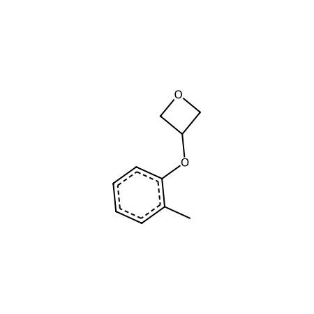 Cc1ccccc1OC1COC1